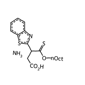 CCCCCCCCOC(=S)C(CC(=O)O)c1nc2ccccc2s1.N